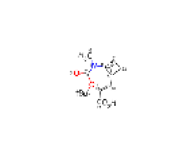 CN(C(=O)OC(C)(C)C)C1C2CC1(C=CC(=O)O)C2